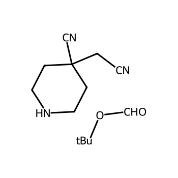 CC(C)(C)OC=O.N#CCC1(C#N)CCNCC1